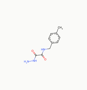 Cc1ccc(CNC(=O)C(=O)NN)cc1